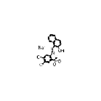 O=S(=O)([O-])c1cc(Cl)c(Cl)cc1/N=N/c1c(O)ccc2ccccc12.[Na+]